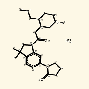 COC[C@H]1CN[C@H](C)CN1CC(=O)N1CC(C)(C)c2cnc(N3CCCC3=O)cc21.Cl